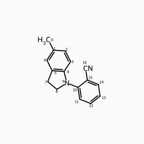 Cc1ccc2c(c1)CCN2c1ccccc1C#N